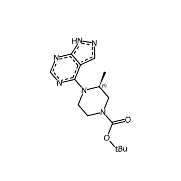 C[C@H]1CN(C(=O)OC(C)(C)C)CCN1c1ncnc2[nH]ncc12